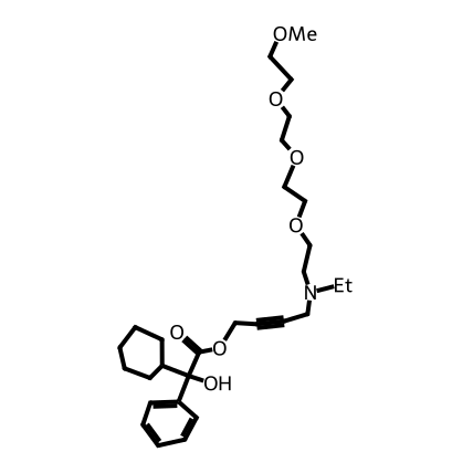 CCN(CC#CCOC(=O)C(O)(c1ccccc1)C1CCCCC1)CCOCCOCCOCCOC